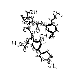 C=CCc1ccc(Br)nc1NC(=O)[C@@H]1C[C@@]2(CO)CC2N1C(=O)Cn1nc(C(C)=O)c2cc(-c3cnc(C)nc3)cc(C)c21